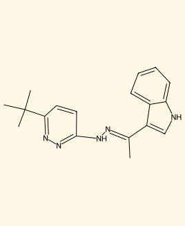 CC(=NNc1ccc(C(C)(C)C)nn1)c1c[nH]c2ccccc12